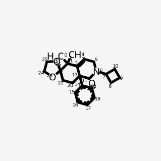 CC1(C)C2=CCN(C3CCC3)C(=O)C2(c2ccccc2)CCC12OCCO2